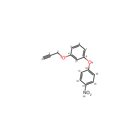 C#CCOc1cccc(Oc2ccc([N+](=O)[O-])cc2)c1